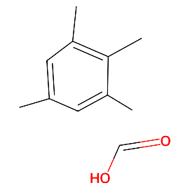 Cc1cc(C)c(C)c(C)c1.O=CO